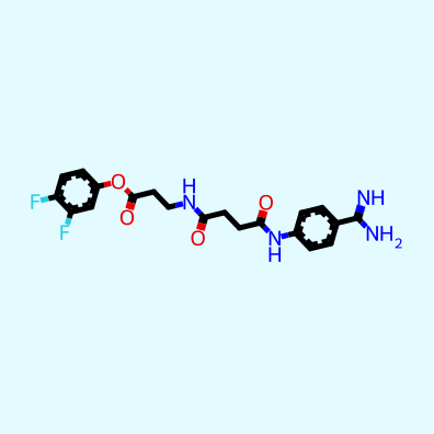 N=C(N)c1ccc(NC(=O)CCC(=O)NCCC(=O)Oc2ccc(F)c(F)c2)cc1